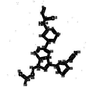 C=CC(=O)Nc1cncc(-c2cnc3c(c2)c(-c2cccc(C#N)c2)cn3COC(C)=O)c1